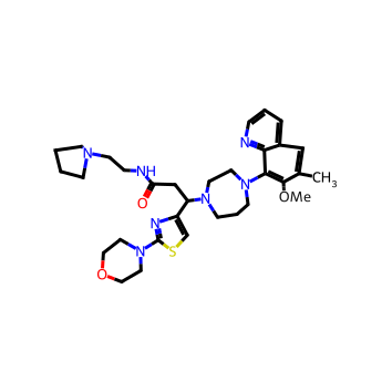 COc1c(C)cc2cccnc2c1N1CCCN(C(CC(=O)NCCN2CCCC2)c2csc(N3CCOCC3)n2)CC1